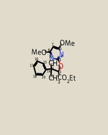 CCOC(=O)C(Oc1nc(OC)cc(OC)n1)C(C)(C)c1ccccc1